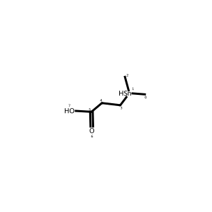 [CH3][SnH]([CH3])[CH2]CC(=O)O